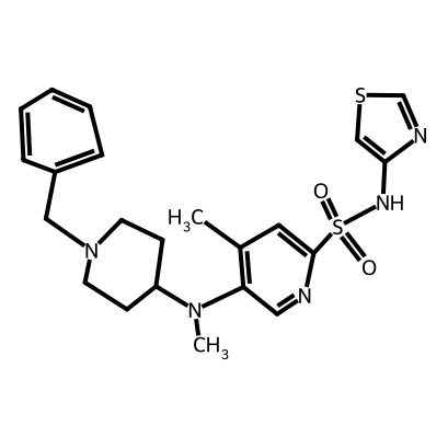 Cc1cc(S(=O)(=O)Nc2cscn2)ncc1N(C)C1CCN(Cc2ccccc2)CC1